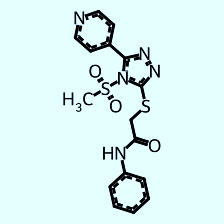 CS(=O)(=O)n1c(SCC(=O)Nc2ccccc2)nnc1-c1ccncc1